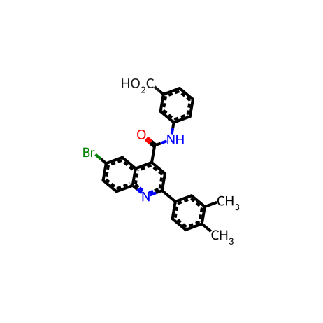 Cc1ccc(-c2cc(C(=O)Nc3cccc(C(=O)O)c3)c3cc(Br)ccc3n2)cc1C